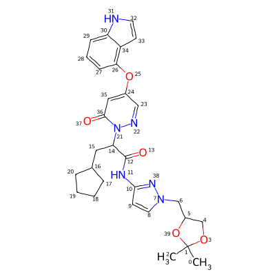 CC1(C)OCC(Cn2ccc(NC(=O)C(CC3CCCC3)n3ncc(Oc4cccc5[nH]ccc45)cc3=O)n2)O1